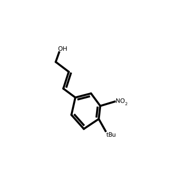 CC(C)(C)c1ccc(C=CCO)cc1[N+](=O)[O-]